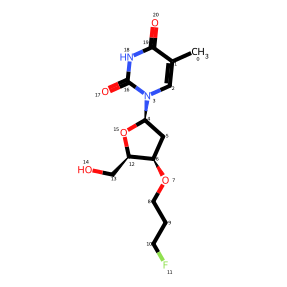 Cc1cn([C@H]2C[C@@H](OCCCF)[C@@H](CO)O2)c(=O)[nH]c1=O